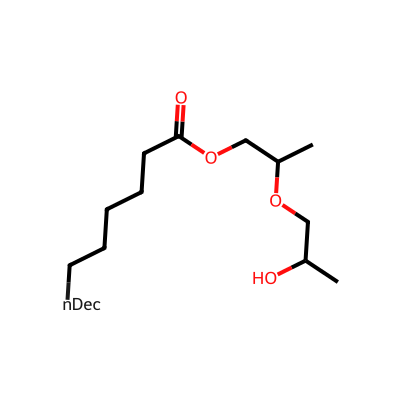 CCCCCCCCCCCCCCCC(=O)OCC(C)OCC(C)O